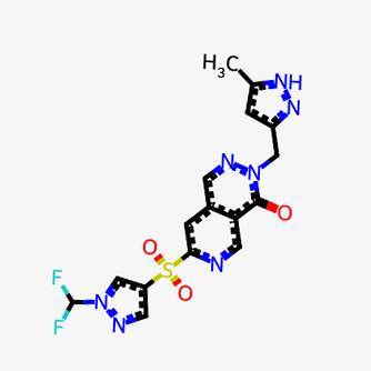 Cc1cc(Cn2ncc3cc(S(=O)(=O)c4cnn(C(F)F)c4)ncc3c2=O)n[nH]1